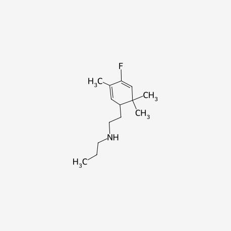 CCCNCCC1C=C(C)C(F)=CC1(C)C